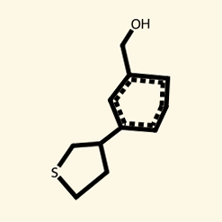 OCc1cccc(C2CCSC2)c1